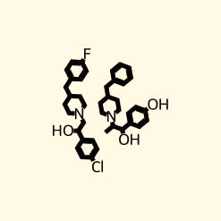 CC(C(O)c1ccc(O)cc1)N1CCC(Cc2ccccc2)CC1.OC(CN1CCC(Cc2ccc(F)cc2)CC1)c1ccc(Cl)cc1